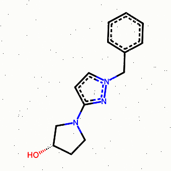 O[C@H]1CCN(c2ccn(Cc3ccccc3)n2)C1